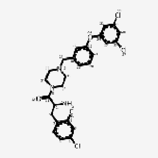 NC(Cc1ccc(Cl)cc1Cl)C(=O)N1CCN(Cc2cccc(Oc3cc(Cl)cc(Cl)c3)c2)CC1